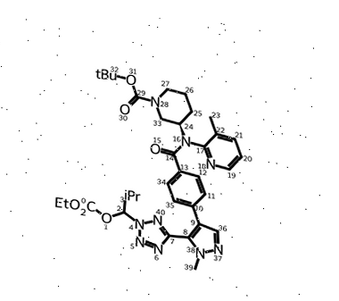 CCOC(=O)OC(C(C)C)n1nnc(-c2c(-c3ccc(C(=O)N(c4ncccc4C)[C@@H]4CCCN(C(=O)OC(C)(C)C)C4)cc3)cnn2C)n1